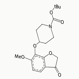 COc1ccc2c(c1OC1CCN(C(=O)OC(C)(C)C)CC1)OCC2=O